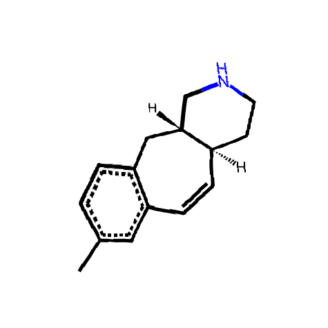 Cc1ccc2c(c1)C=C[C@@H]1CCNC[C@H]1C2